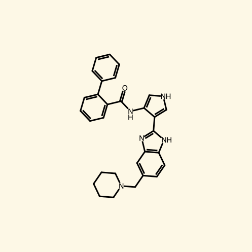 O=C(Nc1c[nH]cc1-c1nc2cc(CN3CCCCC3)ccc2[nH]1)c1ccccc1-c1ccccc1